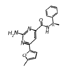 Cc1ccc(-c2cc(C(=O)N[C@H](C)c3ccccc3)nc(N)n2)o1